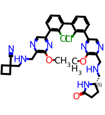 COc1nc(-c2cccc(-c3cccc(-c4cnc(CNCC5(C#N)CCC5)c(OC)n4)c3Cl)c2Cl)cnc1CNC[C@@H]1CCC(=O)N1